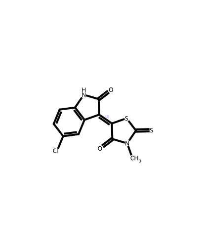 CN1C(=O)/C(=C2/C(=O)Nc3ccc(Cl)cc32)SC1=S